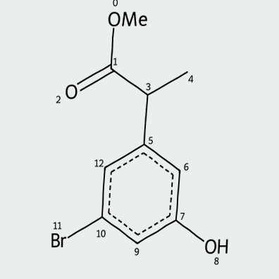 COC(=O)C(C)c1cc(O)cc(Br)c1